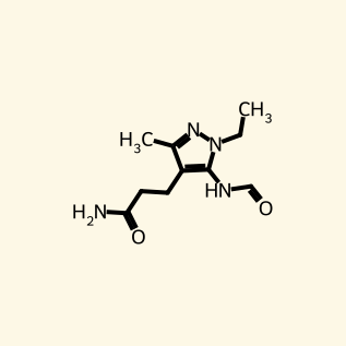 CCn1nc(C)c(CCC(N)=O)c1NC=O